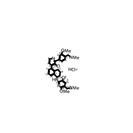 CNCc1ccc(-c2nccc(-c3cccc4c3CCC[C@@H]4Nc3nc(OC)c(CNC)cc3C(F)(F)F)c2Cl)cc1OC.Cl